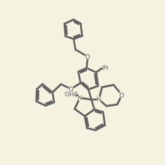 CC(C)c1cc(C2(N3CCOCC3)c3ccccc3CN2C=O)c(OCc2ccccc2)cc1OCc1ccccc1